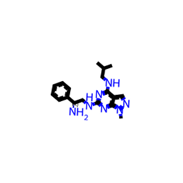 CC(C)CNc1nc(NC[C@H](N)c2ccccc2)nc2c1cnn2C